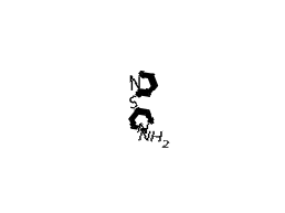 NN1CCC(Sc2ccccn2)CC1